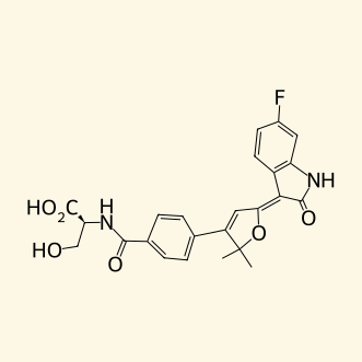 CC1(C)OC(=C2C(=O)Nc3cc(F)ccc32)C=C1c1ccc(C(=O)N[C@@H](CO)C(=O)O)cc1